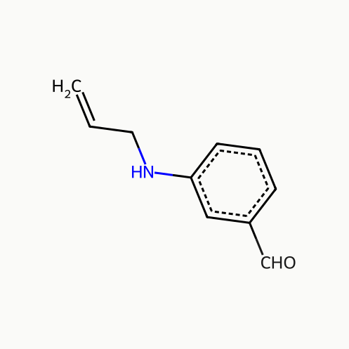 C=CCNc1cccc(C=O)c1